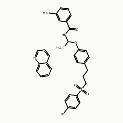 CCOC(=O)C(NC(=O)c1cccc(OC)c1)Oc1ccc(CCCS(=O)(=O)c2ccc(Br)cc2)cc1.c1ccc2ncccc2c1